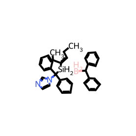 BC(c1ccccc1)c1ccccc1.CCC=C(CC)[SiH2]C(c1ccccc1)(c1ccccc1)n1ccnc1